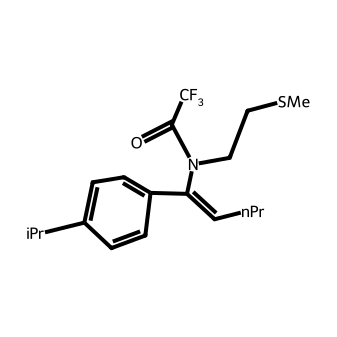 CCCC=C(c1ccc(C(C)C)cc1)N(CCSC)C(=O)C(F)(F)F